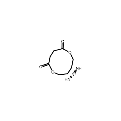 N=[N+]=N.O=C1CCC(=O)OCCCCO1